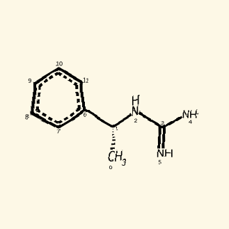 C[C@@H](NC([NH])=N)c1ccccc1